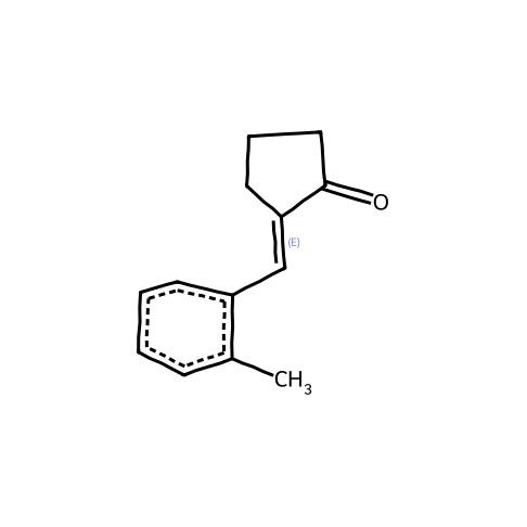 Cc1ccccc1/C=C1\CCCC1=O